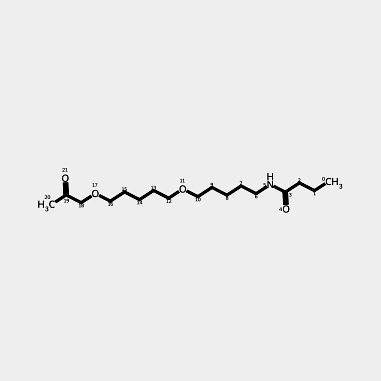 CCCC(=O)NCCCCCOCCCCCOCC(C)=O